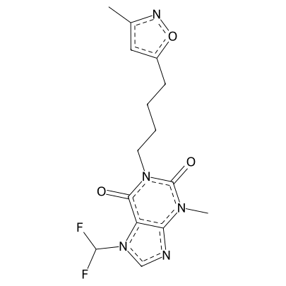 Cc1cc(CCCCn2c(=O)c3c(ncn3C(F)F)n(C)c2=O)on1